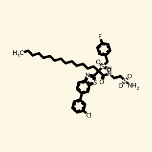 CCCCCCCCCCCCCCC(C(=O)NCCS(N)(=O)=O)(c1nc2ccc(-c3cccc(Cl)c3)cc2s1)S(=O)(=O)Cc1ccc(F)cc1